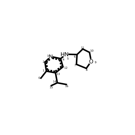 Cc1cnc(NC2CCOCC2)cc1C(C)C